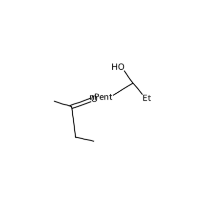 CCC(C)=O.CCCCCC(O)CC